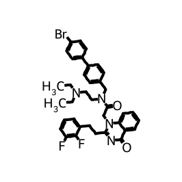 CCN(CC)CCN(Cc1ccc(-c2ccc(Br)cc2)cc1)C(=O)Cn1c(CCc2cccc(F)c2F)nc(=O)c2ccccc21